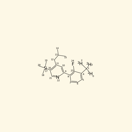 [2H]C([2H])([2H])c1cccc(-c2cc(CC(C)C)c([Si](C)(C)C)cn2)c1F